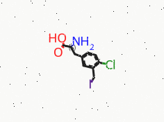 N[C@@H](Cc1ccc(Cl)c(CI)c1)C(=O)O